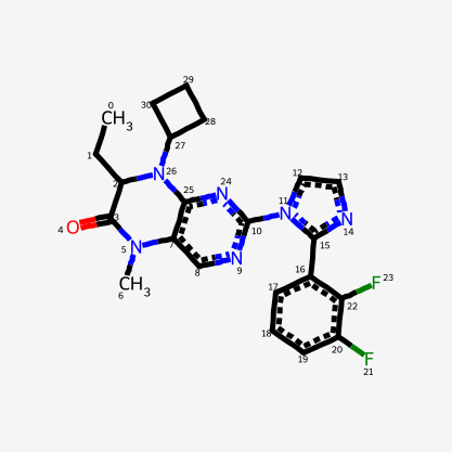 CCC1C(=O)N(C)c2cnc(-n3ccnc3-c3cccc(F)c3F)nc2N1C1CCC1